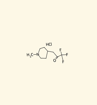 CN1CCC(CC(=O)C(F)(F)F)CC1.Cl